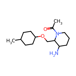 CC(=O)N1CCCC(N)C1COC1CCC(C)CC1